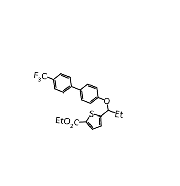 CCOC(=O)c1ccc(C(CC)Oc2ccc(-c3ccc(C(F)(F)F)cc3)cc2)s1